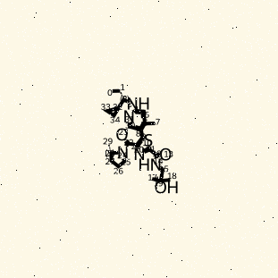 CC[C@H](Nc1cc(C)c(-c2sc(C(=O)NCC(C)(C)O)nc2C(=O)N2CCC[C@@H]2C)cn1)C1CC1